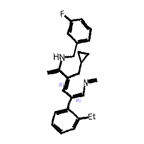 C=N/C=C(\C=C(/CC1CC1)C(=C)NCc1cccc(F)c1)c1ccccc1CC